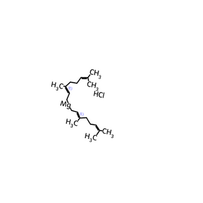 CC(C)=CCC/C(C)=C/[CH2][Mg][CH2]/C=C(\C)CCC=C(C)C.Cl